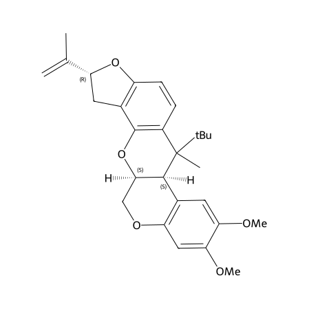 C=C(C)[C@H]1Cc2c(ccc3c2O[C@@H]2COc4cc(OC)c(OC)cc4[C@@H]2C3(C)C(C)(C)C)O1